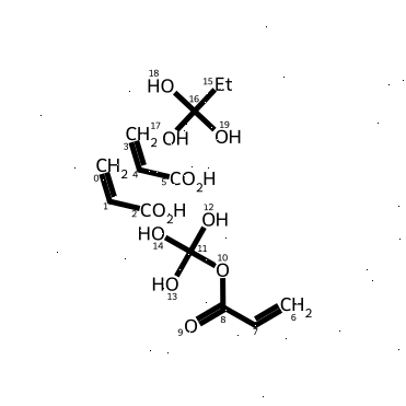 C=CC(=O)O.C=CC(=O)O.C=CC(=O)OC(O)(O)O.CCC(O)(O)O